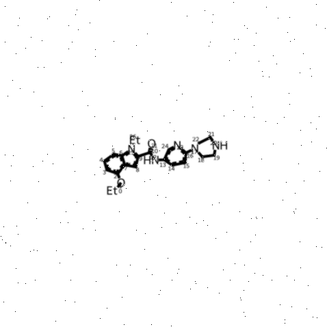 CCOc1cccc2c1cc(C(=O)Nc1ccc(N3CCNCC3)nc1)n2CC